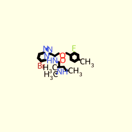 CCCC(C)(NC)C(=O)NC(COCc1ccc(C)cc1F)c1nnc2ccc(Br)cn12